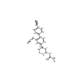 COC(=O)CC1CCCN(c2ccc(-c3ccc(C#N)cc3)c(C=C=O)c2)C1